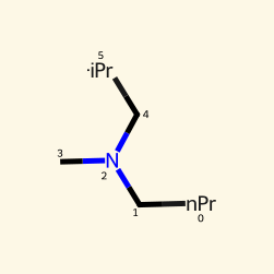 CCCCN(C)C[C](C)C